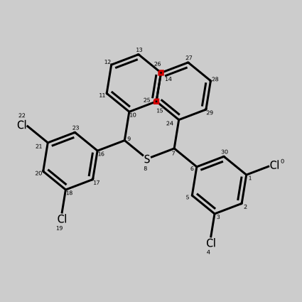 Clc1cc(Cl)cc(C(SC(c2ccccc2)c2cc(Cl)cc(Cl)c2)c2ccccc2)c1